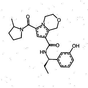 CC[C@@H](NC(=O)c1cc(C(=O)N2CCCC2C)n2c1COCC2)c1cccc(O)c1